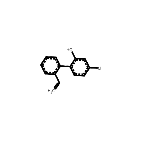 C=Cc1ccccc1-c1ccc(Cl)cc1O